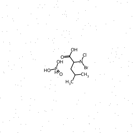 CC(C)CC(C(=O)O)N(Cl)Br.O=[PH](O)O